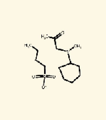 CC(=O)C[S+](C)C1CCCCC1.CCCCS(=O)(=O)[O-]